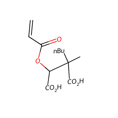 C=CC(=O)OC(C(=O)O)C(C)(CCCC)C(=O)O